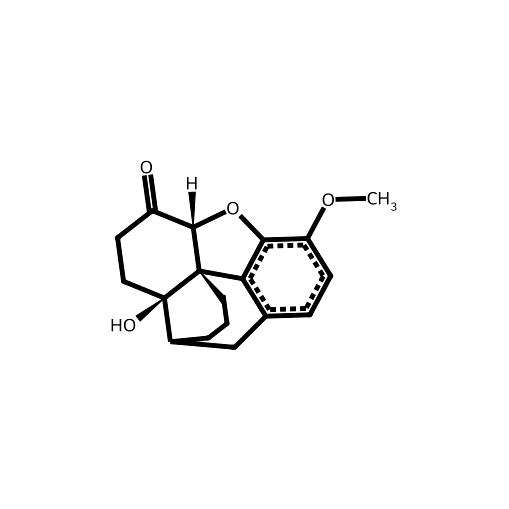 COc1ccc2c3c1O[C@H]1C(=O)CC[C@@]4(O)C(CCC[C@]314)C2